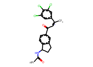 CCCC(=O)NC1CCc2cc(C(=O)/C=C(\c3cc(Cl)c(Cl)c(Cl)c3)C(F)(F)F)ccc21